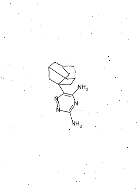 Nc1nnc(C23CC4CC(CC(C4)C2)C3)c(N)n1